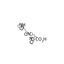 O=C(O)CC(CC1CCN(C(=O)CCCc2ccc3c(n2)NCCC3)CC1)c1cnc2ccccc2c1